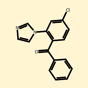 O=C(c1ccccc1)c1ccc(Cl)cc1-n1ccnc1